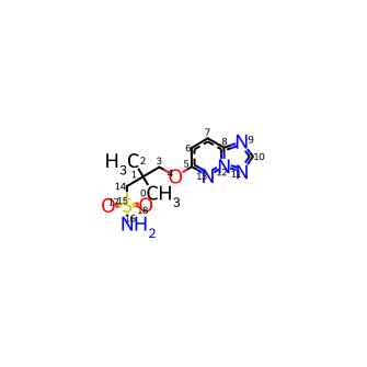 CC(C)(COc1ccc2ncnn2n1)CS(N)(=O)=O